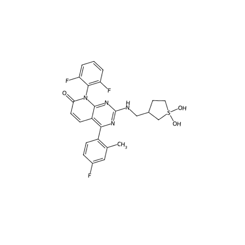 Cc1cc(F)ccc1-c1nc(NCC2CCS(O)(O)C2)nc2c1ccc(=O)n2-c1c(F)cccc1F